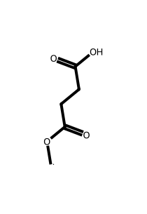 [CH2]OC(=O)CCC(=O)O